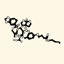 CCCCNC(=O)CCCOc1ccc(C[C@H](NC(=O)O)[C@@H](O)C([C@@H]2CO[C@H]3OCC[C@H]32)N(CC(C)C)S(=O)(=O)c2ccc3c(c2)OCO3)cc1